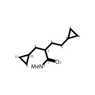 CNC(=O)C(CCC1CC1)CC1CC1